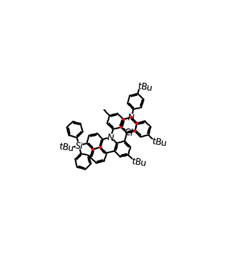 Cc1cc(N(c2ccc(C(C)(C)C)cc2)c2ccc(C(C)(C)C)cc2)c(Cl)c(N(c2ccc([Si](c3ccccc3)(c3ccccc3)C(C)(C)C)cc2)c2c(-c3ccccc3)cc(C(C)(C)C)cc2-c2ccccc2)c1